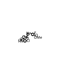 COC(=O)c1ccc(Cn2cc(C(=O)N3CCC[C@@]4(C3)OC(=O)Nc3ccc(Cl)c(F)c34)cn2)cc1F